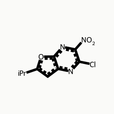 CC(C)c1cc2nc(Cl)c([N+](=O)[O-])nc2o1